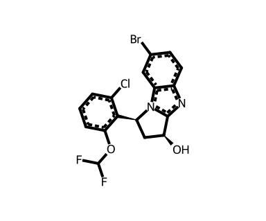 O[C@H]1C[C@@H](c2c(Cl)cccc2OC(F)F)n2c1nc1ccc(Br)cc12